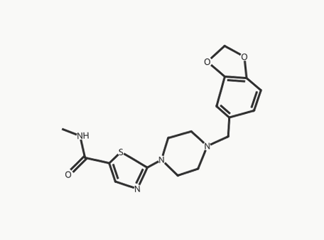 CNC(=O)c1cnc(N2CCN(Cc3ccc4c(c3)OCO4)CC2)s1